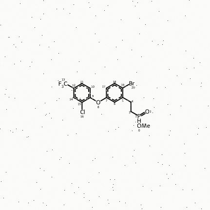 CO[PH](=O)CCc1cc(Oc2ccc(C(F)(F)F)cc2Cl)ccc1Br